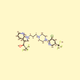 O=C(c1cn(CCCN2CCN(c3ncc(C(F)(F)F)cc3Cl)CC2)c2ncccc12)C(F)(F)F